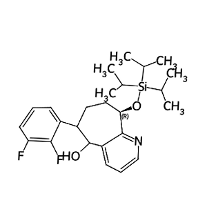 CC(C)[Si](O[C@@H]1CCC(c2cccc(F)c2F)C(O)c2cccnc21)(C(C)C)C(C)C